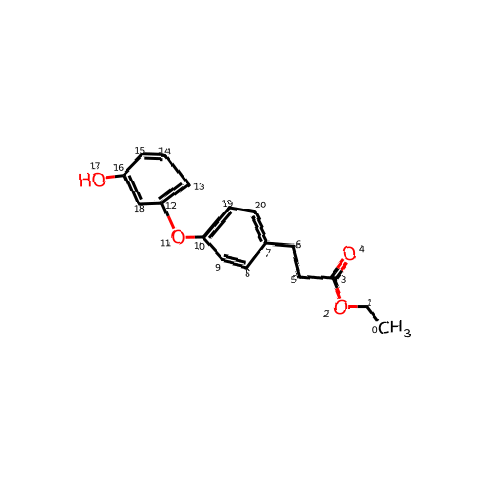 CCOC(=O)CCc1ccc(Oc2cccc(O)c2)cc1